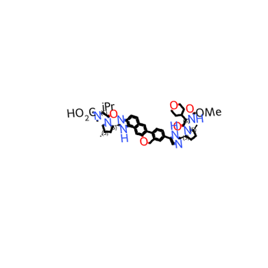 COC(=O)N[C@H](C(=O)N1[C@@H](C)CC[C@H]1c1ncc(-c2ccc3c(c2)COc2cc4c(ccc5nc([C@@H]6C[C@H](C)CN6C(=O)[C@H](C(C)C)N(C)C(=O)O)[nH]c54)cc2-3)[nH]1)C1CCOCC1